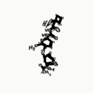 CC(=O)Nc1cc(Oc2ccc(NC(=O)NC(=O)C3(C)CCC3)nc2C)ccn1